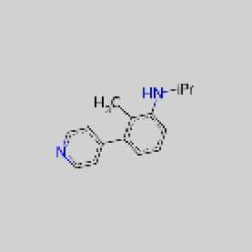 Cc1c(NC(C)C)cccc1-c1ccncc1